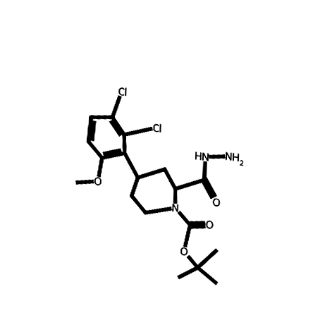 COc1ccc(Cl)c(Cl)c1C1CCN(C(=O)OC(C)(C)C)C(C(=O)NN)C1